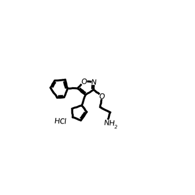 Cl.NCCOc1noc(-c2ccccc2)c1C1C=CCC1